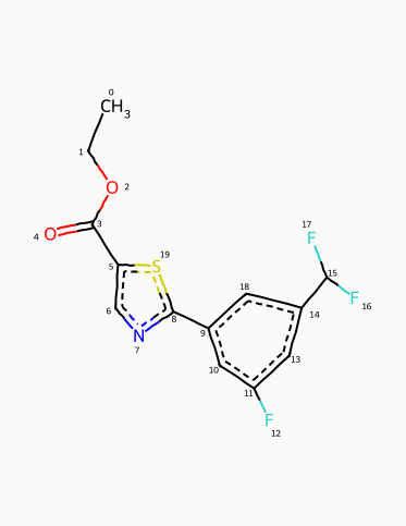 CCOC(=O)c1cnc(-c2cc(F)cc(C(F)F)c2)s1